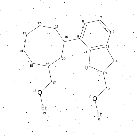 CCOCC1Cc2cccc(C3CCCCCC(COCC)C3)c2C1